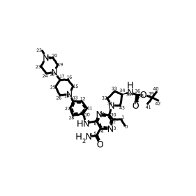 CCc1nc(C(N)=O)c(Nc2ccc(N3CCC(N4CCN(C)CC4)CC3)cc2)nc1N1CC[C@@H](NC(=O)OC(C)(C)C)C1